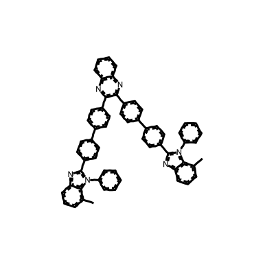 Cc1cccc2nc(-c3ccc(-c4ccc(-c5nc6ccccc6nc5-c5ccc(-c6ccc(-c7nc8cccc(C)c8n7-c7ccccc7)cc6)cc5)cc4)cc3)n(-c3ccccc3)c12